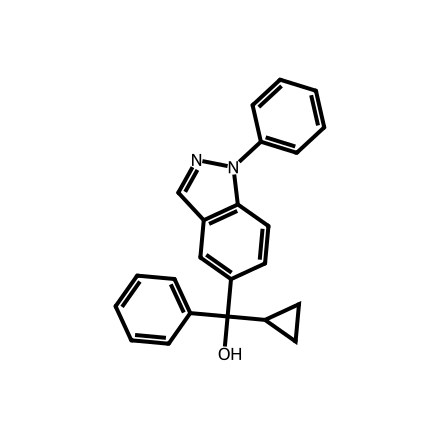 OC(c1ccccc1)(c1ccc2c(cnn2-c2ccccc2)c1)C1CC1